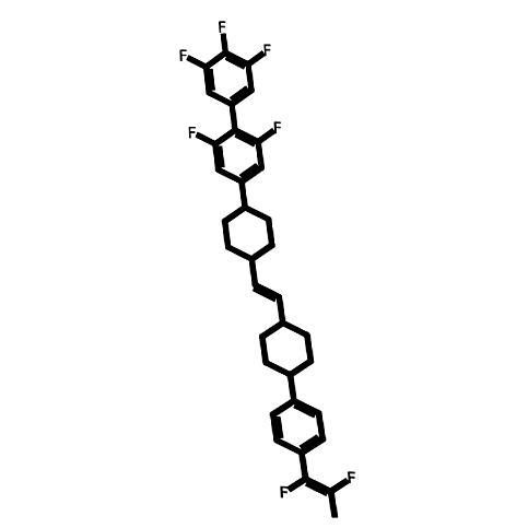 C/C(F)=C(\F)c1ccc(C2CCC(/C=C/C3CCC(c4cc(F)c(-c5cc(F)c(F)c(F)c5)c(F)c4)CC3)CC2)cc1